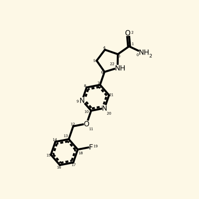 NC(=O)C1CCC(c2cnc(OCc3ccccc3F)nc2)N1